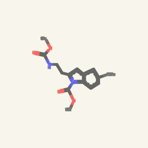 COc1ccc2c(c1)cc(CCNC(=O)OC(C)(C)C)n2C(=O)OC(C)(C)C